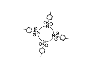 Cc1ccc(S(=O)(=O)N2CCCN(S(=O)(=O)c3ccc(C)cc3)CCCN(S(=O)(=O)c3ccc(C)cc3)CCCN(S(=O)(=O)c3ccc(C)cc3)CCC2)cc1